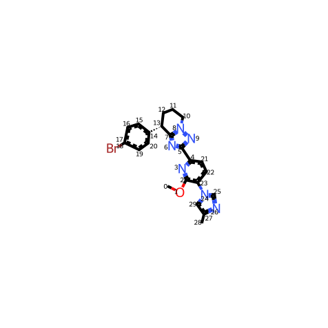 COc1nc(-c2nc3n(n2)CCC[C@H]3c2ccc(Br)cc2)ccc1-n1cnc(C)c1